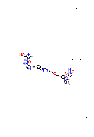 Cn1c(=O)n(C2CCC(=O)NC2=O)c2ccc(CCCOCCCCN3CCN(Cc4cccc(C#Cc5cc(NC(=O)Nc6cc(F)ncc6CO)ccn5)c4)CC3)cc21